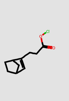 O=C(CCC1=CC2CCC1C2)OCl